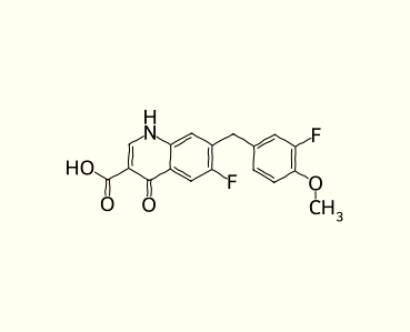 COc1ccc(Cc2cc3[nH]cc(C(=O)O)c(=O)c3cc2F)cc1F